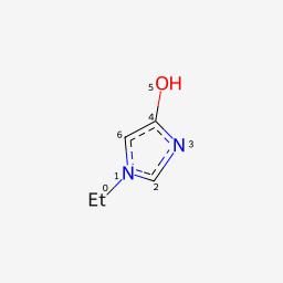 CCn1cnc(O)c1